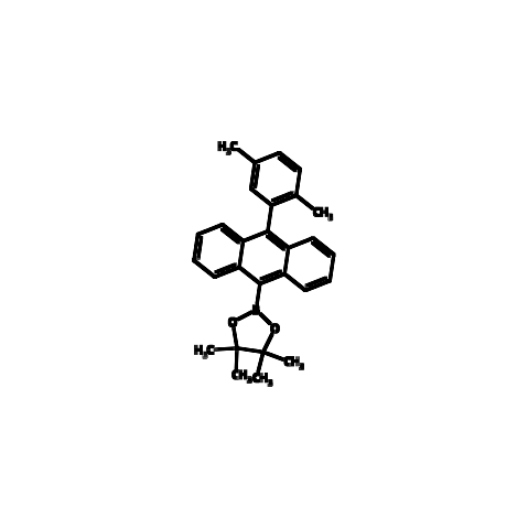 Cc1ccc(C)c(-c2c3ccccc3c(B3OC(C)(C)C(C)(C)O3)c3ccccc23)c1